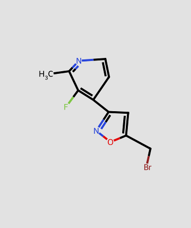 Cc1nccc(-c2cc(CBr)on2)c1F